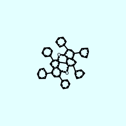 c1ccc(-c2cc3c(-c4ccccc4)cc(-c4ccccc4)c4oc5c(-c6ccccc6)cc6c(-c7ccccc7)cc(-c7ccccc7)c7oc2c(c34)-c5c67)cc1